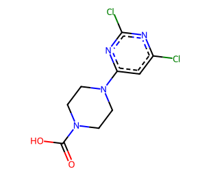 O=C(O)N1CCN(c2cc(Cl)nc(Cl)n2)CC1